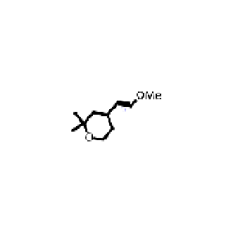 CO/C=C/C1CCOC(C)(C)C1